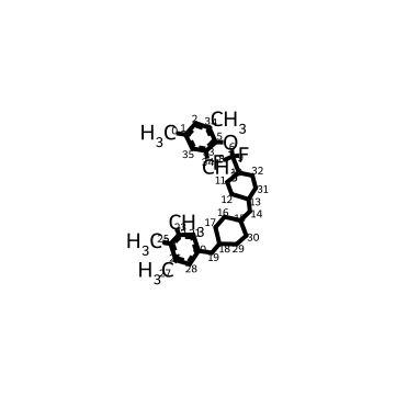 Cc1cc(C)c(OC(F)(F)C2CCC(CC3CCC(Cc4cc(C)c(C)c(C)c4)CC3)CC2)c(C)c1